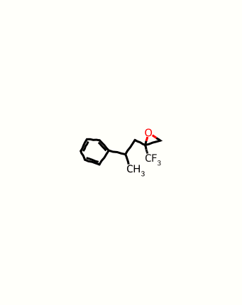 CC(CC1(C(F)(F)F)CO1)c1ccccc1